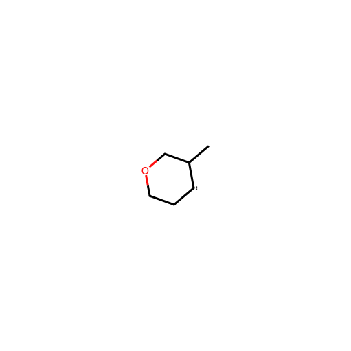 CC1[C]CCOC1